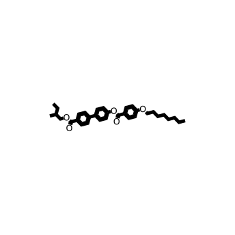 CCCCCCCCOc1ccc(C(=O)Oc2ccc(-c3ccc(C(=O)OCC(C)CC)cc3)cc2)cc1